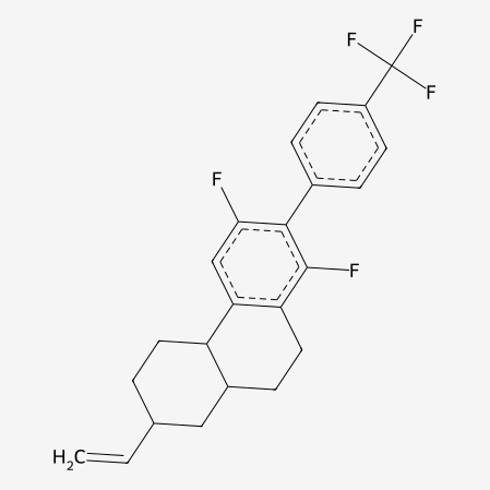 C=CC1CCC2c3cc(F)c(-c4ccc(C(F)(F)F)cc4)c(F)c3CCC2C1